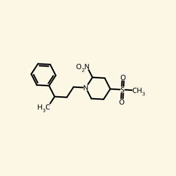 CC(CCN1CCC(S(C)(=O)=O)CC1[N+](=O)[O-])c1ccccc1